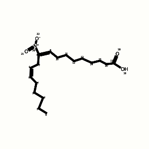 CCCCC/C=C\C/C(=C\CCCCCCCC(=O)O)[N+](=O)[O-]